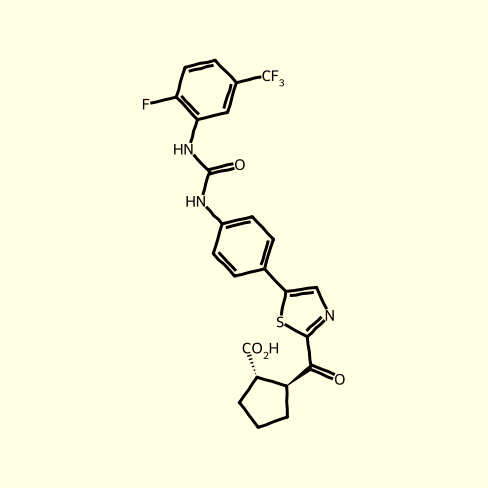 O=C(Nc1ccc(-c2cnc(C(=O)[C@H]3CCC[C@@H]3C(=O)O)s2)cc1)Nc1cc(C(F)(F)F)ccc1F